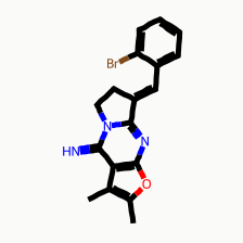 Cc1oc2nc3n(c(=N)c2c1C)CC/C3=C\c1ccccc1Br